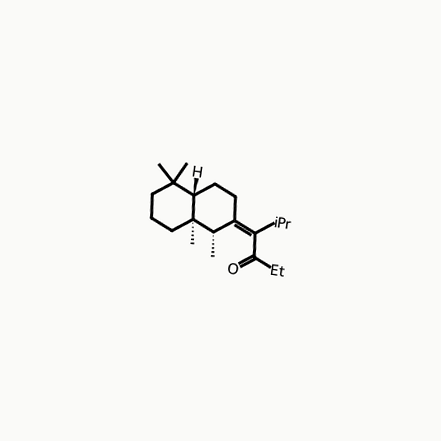 CCC(=O)/C(=C1/CC[C@H]2C(C)(C)CCC[C@]2(C)[C@H]1C)C(C)C